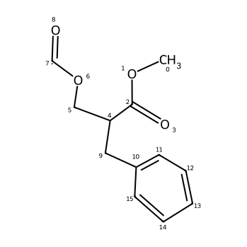 COC(=O)C(CO[C]=O)Cc1ccccc1